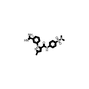 Cc1cc(C(=O)Nc2ccc(S(=O)(=O)N(C)C)cc2)n(-c2cccc(C(=N)N)c2)n1